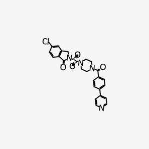 O=C(c1ccc(-c2ccncc2)cc1)N1CCN(S(=O)(=O)N2Cc3cc(Cl)ccc3C2=O)CC1